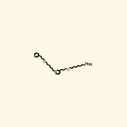 [N-]=[N+]=NCCCCCCCCOCCCc1ccc[n+](CCCCCCOCCCc2cccnc2)c1